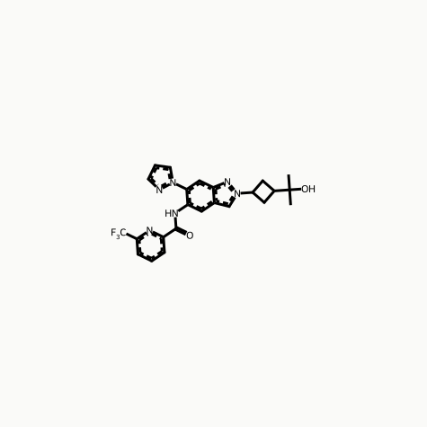 CC(C)(O)C1CC(n2cc3cc(NC(=O)c4cccc(C(F)(F)F)n4)c(-n4cccn4)cc3n2)C1